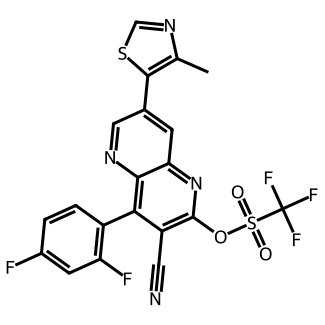 Cc1ncsc1-c1cnc2c(-c3ccc(F)cc3F)c(C#N)c(OS(=O)(=O)C(F)(F)F)nc2c1